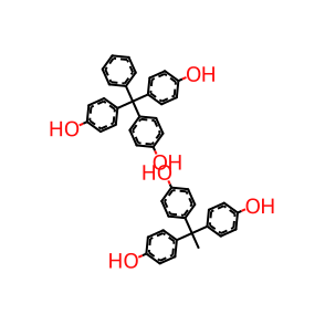 CC(c1ccc(O)cc1)(c1ccc(O)cc1)c1ccc(O)cc1.Oc1ccc(C(c2ccccc2)(c2ccc(O)cc2)c2ccc(O)cc2)cc1